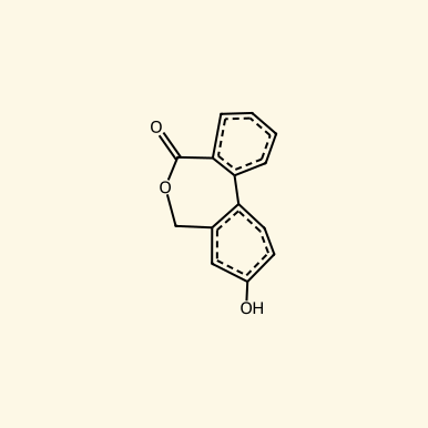 O=C1OCc2cc(O)ccc2-c2ccccc21